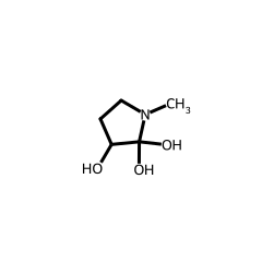 CN1CCC(O)C1(O)O